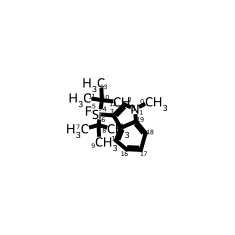 Cn1cc([Si](F)(C(C)(C)C)C(C)(C)C)c2ccccc21